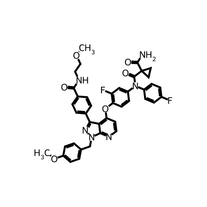 COCCNC(=O)c1ccc(-c2nn(Cc3ccc(OC)cc3)c3nccc(Oc4ccc(N(C(=O)C5(C(N)=O)CC5)c5ccc(F)cc5)cc4F)c23)cc1